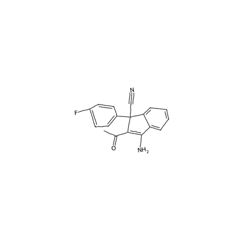 CC(=O)C1=C(N)c2ccccc2C1(C#N)c1ccc(F)cc1